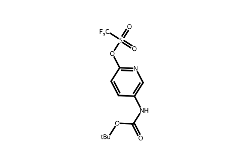 CC(C)(C)OC(=O)Nc1ccc(OS(=O)(=O)C(F)(F)F)nc1